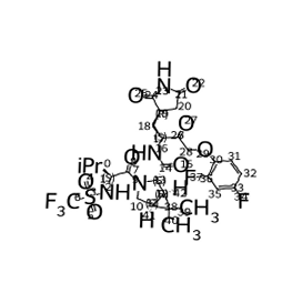 CC(C)[C@H](NS(=O)(=O)C(F)(F)F)C(=O)N1C[C@H]2[C@@H]([C@H]1C(=O)N[C@@H](C[C@@H]1CC(=O)NC1=O)C(=O)COc1ccc(F)cc1F)C2(C)C